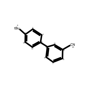 CC(C)(C)c1ccc(-c2cccc(C#N)c2)cc1